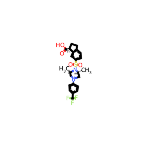 C[C@@H]1CN(c2ccc(C(F)(F)F)cc2)C[C@H](C)N1S(=O)(=O)c1ccc2c(c1)[C@@H](C(=O)O)CC2